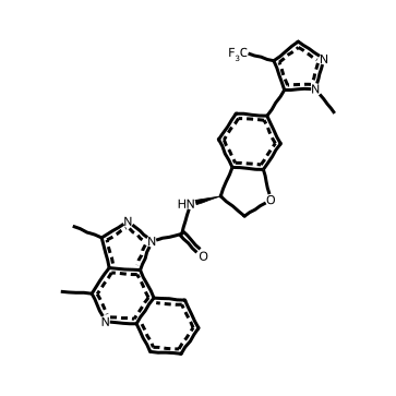 Cc1nc2ccccc2c2c1c(C)nn2C(=O)N[C@@H]1COc2cc(-c3c(C(F)(F)F)cnn3C)ccc21